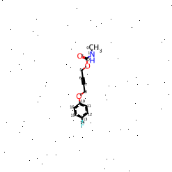 CNC(=O)OCC#CCOc1ccc(F)cc1